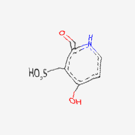 O=c1[nH]ccc(O)c1S(=O)(=O)O